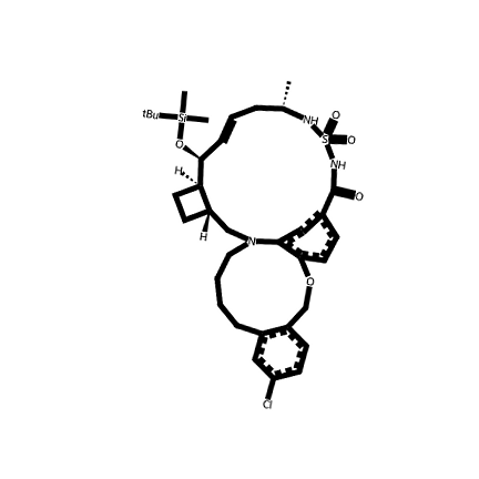 C[C@H]1C/C=C/[C@H](O[Si](C)(C)C(C)(C)C)[C@@H]2CC[C@H]2CN2CCCCc3cc(Cl)ccc3COc3ccc(cc32)C(=O)NS(=O)(=O)N1